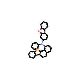 c1ccc(N(c2ccc3c(c2)oc2ccccc23)c2cccc3ccc4c5ccccc5sc4c23)cc1